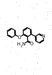 NC(=O)c1c(Oc2ccccc2)cccc1-c1cccnc1